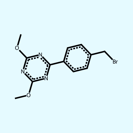 COc1nc(OC)nc(-c2ccc(CBr)cc2)n1